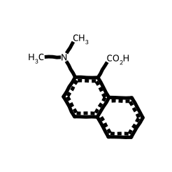 CN(C)c1ccc2ccccc2c1C(=O)O